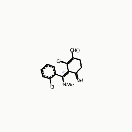 CN/C(=C1\C(=N)CCC(C=O)=C1Cl)c1ccccc1Cl